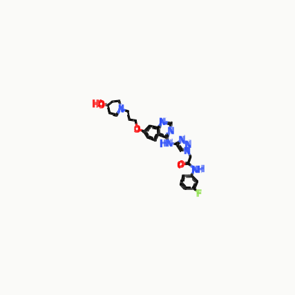 O=C(Cn1cc(Nc2ncnc3cc(OCCCN4CCC(O)CC4)ccc23)nn1)Nc1cccc(F)c1